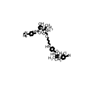 CC(C)(C)[C@H](NC(=O)COCCCCCNc1ccc(C(=O)N[C@H]2C(C)(C)[C@H](Oc3ccc(C#N)c(Cl)c3)C2(C)C)cc1)C(=O)N1C[C@H](O)C[C@H]1C(=O)NCc1ccc(-c2ncns2)cc1